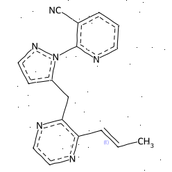 C/C=C/c1nccnc1Cc1ccnn1-c1ncccc1C#N